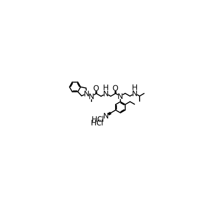 CCc1ccc(C#N)cc1N(CCNC(C)C)C(=O)CNCC(=O)N(C)N1Cc2ccccc2C1.Cl.Cl